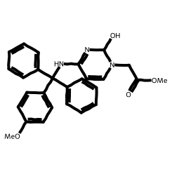 COC(=O)CN1C=CC(NC(c2ccccc2)(c2ccccc2)c2ccc(OC)cc2)=NC1O